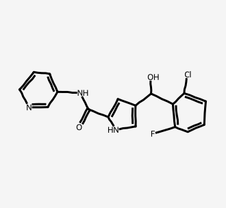 O=C(Nc1cccnc1)c1cc(C(O)c2c(F)cccc2Cl)c[nH]1